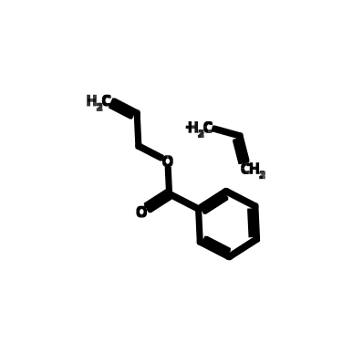 C=CCOC(=O)c1ccccc1.[CH2]C=C